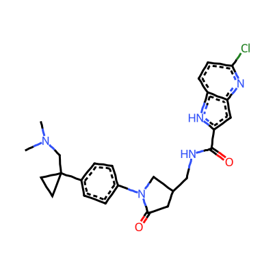 CN(C)CC1(c2ccc(N3CC(CNC(=O)c4cc5nc(Cl)ccc5[nH]4)CC3=O)cc2)CC1